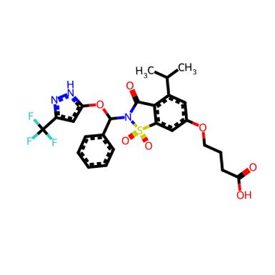 CC(C)c1cc(OCCCC(=O)O)cc2c1C(=O)N(C(Oc1cc(C(F)(F)F)n[nH]1)c1ccccc1)S2(=O)=O